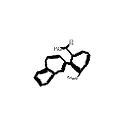 CCC(O)c1cccc(NC)c1-c1ccc2ccccc2c1